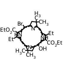 CCOC(=O)c1c(CC)c2cc3nc(c(Br)c4[nH]c(cc5nc(c(O)c1[nH]2)CC5(C)C)c(CC)c4C(=O)OCC)CC3(C)C